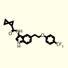 O=C(Nc1c[nH]c2ccc(CCOc3ccc(C(F)(F)F)cc3)cc12)C1CC12CC2